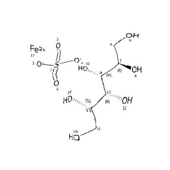 O=S(=O)([O-])[O-].OC[C@@H](O)[C@@H](O)[C@H](O)[C@@H](O)CO.[Fe+2]